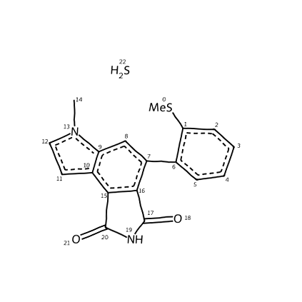 CSc1ccccc1-c1cc2c(ccn2C)c2c1C(=O)NC2=O.S